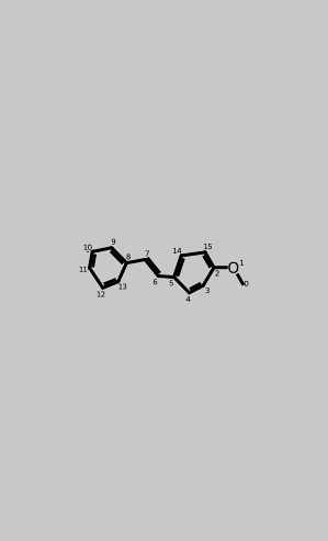 COc1ccc(C=Cc2c[c]ccc2)cc1